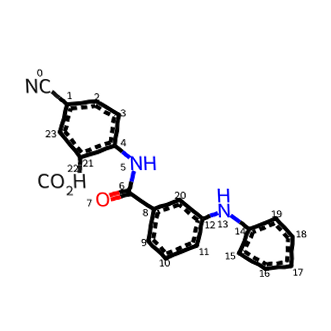 N#Cc1ccc(NC(=O)c2cccc(Nc3ccccc3)c2)c(C(=O)O)c1